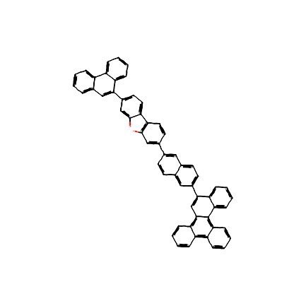 c1ccc2c(c1)cc(-c1ccc3c(c1)oc1cc(-c4ccc5cc(-c6cc7c8ccccc8c8ccccc8c7c7ccccc67)ccc5c4)ccc13)c1ccccc12